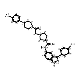 CC(=O)c1ccc(N2CCN(C(=O)CN3CC[C@@H](C(=O)Nc4ccc5[nH]nc(-c6ccc(F)cc6)c5c4)C3)CC2)cc1